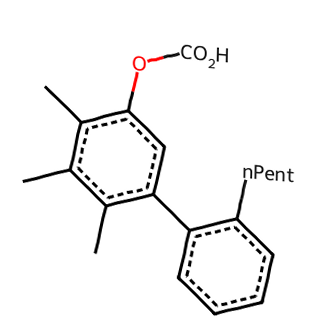 CCCCCc1ccccc1-c1cc(OC(=O)O)c(C)c(C)c1C